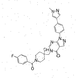 Cn1cc(-c2ccc(-n3ncc4c(=O)n(CC5(O)CCN(C(=O)c6ccc(F)cc6)CC5)cnc43)cc2)cn1